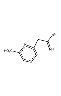 CCCC(=N)Cc1cccc(C(=O)O)n1